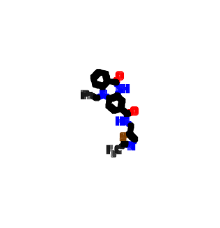 CC(C)CN1c2ccc(C(=O)NCc3cnc(C(F)(F)F)s3)cc2NC(=O)c2ccccc21